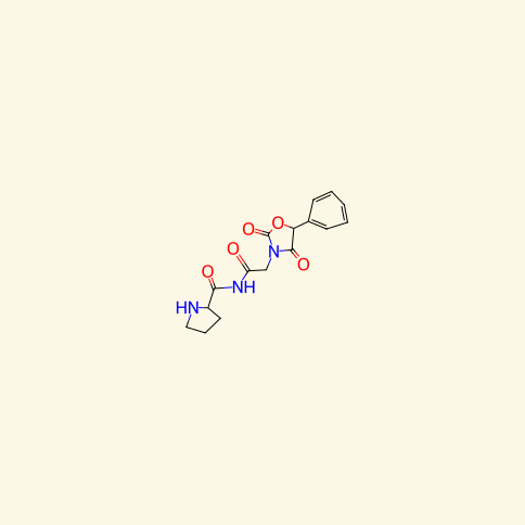 O=C(CN1C(=O)OC(c2ccccc2)C1=O)NC(=O)C1CCCN1